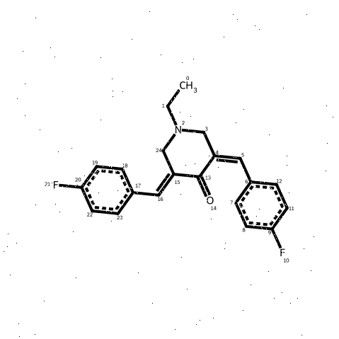 CCN1CC(=Cc2ccc(F)cc2)C(=O)C(=Cc2ccc(F)cc2)C1